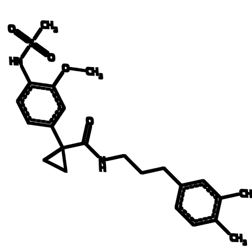 COc1cc(C2(C(=O)NCCCc3ccc(C)c(C)c3)CC2)ccc1NS(C)(=O)=O